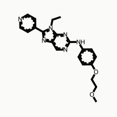 CCn1c(-c2ccncc2)nc2cnc(Nc3ccc(OCCOC)cc3)nc21